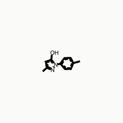 Cc1ccc(-n2nc(C)[c]c2O)cc1